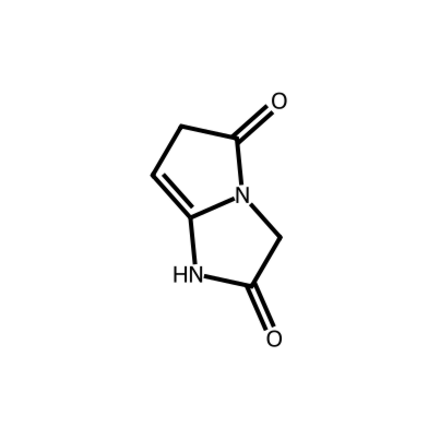 O=C1CN2C(=O)CC=C2N1